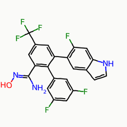 N/C(=N\O)c1cc(C(F)(F)F)cc(-c2cc3cc[nH]c3cc2F)c1-c1cc(F)cc(F)c1